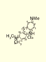 CNc1ccc2c(c1)SC1=C(C=CC(=[N+](C)C)C1)N2.[Cl-]